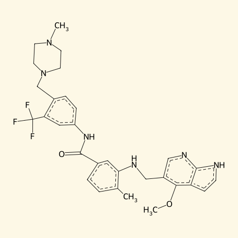 COc1c(CNc2cc(C(=O)Nc3ccc(CN4CCN(C)CC4)c(C(F)(F)F)c3)ccc2C)cnc2[nH]ccc12